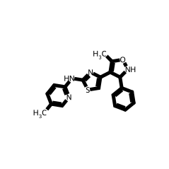 CC1=C(c2csc(Nc3ccc(C)cn3)n2)C(c2ccccc2)NO1